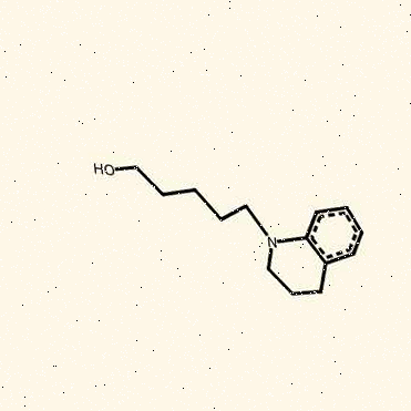 OCCCCCN1CCCc2ccccc21